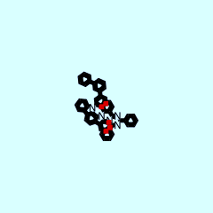 c1ccc(-c2cccc(-c3cccc(-n4c5ccccc5c5ccc6c7ccccc7n(-c7ccccc7-c7nc(-c8ccccc8)nc(-c8ccccc8)n7)c6c54)c3)c2)cc1